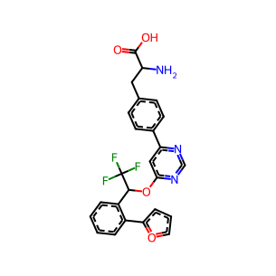 NC(Cc1ccc(-c2cc(OC(c3ccccc3-c3ccco3)C(F)(F)F)ncn2)cc1)C(=O)O